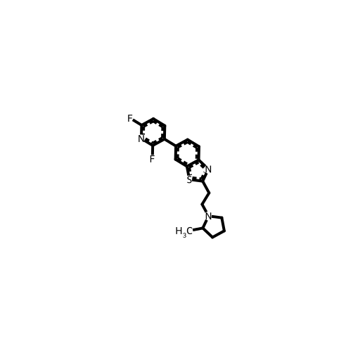 CC1CCCN1CCc1nc2ccc(-c3ccc(F)nc3F)cc2s1